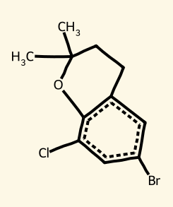 CC1(C)CCc2cc(Br)cc(Cl)c2O1